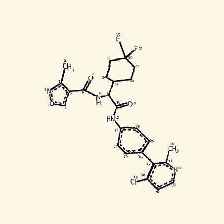 Cc1nocc1C(=O)N[C@H](C(=O)Nc1ccc(-c2c(Cl)ccnc2C)cc1)C1CCC(F)(F)CC1